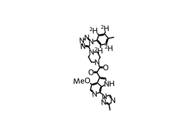 [2H]c1c([2H])c(-n2nnnc2N2CCN(C(=O)C(=O)c3c[nH]c4c(-n5cnc(C)n5)ncc(OC)c34)CC2)c([2H])c([2H])c1C